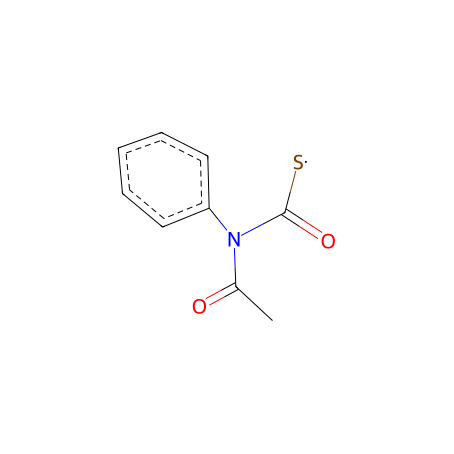 CC(=O)N(C(=O)[S])c1ccccc1